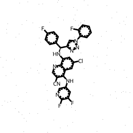 N#Cc1cnc2c(N[C@@H](c3ccc(F)cc3)c3cn(-c4ccccc4F)nn3)cc(Cl)cc2c1Nc1cnc(F)c(F)c1